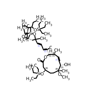 CCC(O[Si](CC)(CC)CC)C(C)[C@@H]1O[C@H]1CC(C)(/C=C/C=C(\C)[C@H]1OC(=O)C[C@H](O[Si](CC)(CC)CC)CC[C@@](C)(OC)[C@@H](O)/C=C/[C@@H]1C)O[Si](CC)(CC)CC